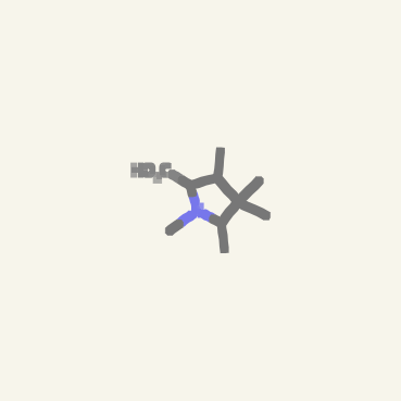 CC1C(C(=O)O)N(C)C(C)C1(C)C